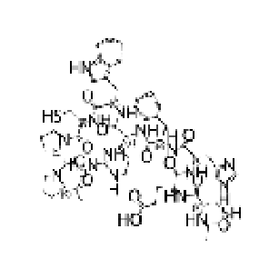 CC(=O)N[C@@H](CS)C(=O)N[C@@H](CCC(=O)O)C(=O)N[C@@H](Cc1c[nH]cn1)C(=O)N[C@H](Cc1ccccc1)C(=O)N[C@@H](CCCNC(=N)N)C(=O)N[C@@H](Cc1c[nH]c2ccccc12)C(=O)N[C@@H](CS)C(=O)N1CCC[C@H]1C(=O)N1CCC[C@H]1C(C)=O